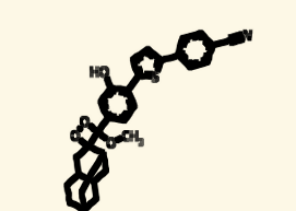 COC1(c2ccc(-c3ccc(-c4ccc(C#N)cc4)s3)c(O)c2)OOC12CC1CCC3CC1CC2C3